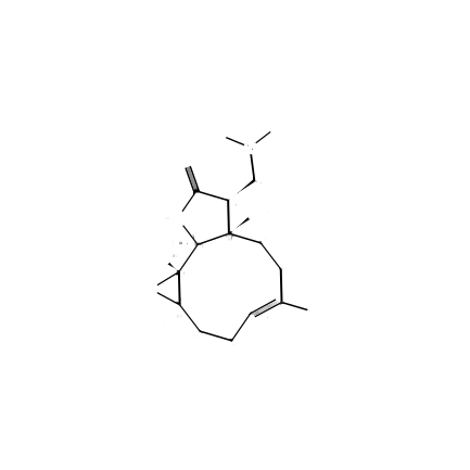 C/C1=C\CC[C@@]2(C)O[C@@H]2[C@H]2OC(=O)[C@@H](CN(C)O)[C@@H]2CC1